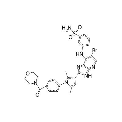 Cc1cc(-c2nc3c(Nc4cccc(S(N)(=O)=O)c4)c(Br)cnc3[nH]2)c(C)n1-c1ccc(C(=O)N2CCOCC2)cc1